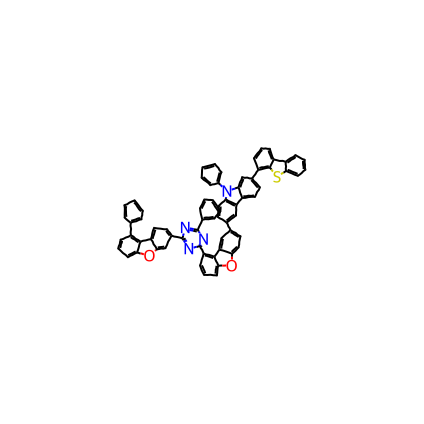 c1ccc(-c2nc(-c3ccc4c(c3)oc3cccc(-c5ccccc5)c34)nc(-c3cccc4oc5ccc(-c6ccc7c(c6)c6ccc(-c8cccc9c8sc8ccccc89)cc6n7-c6ccccc6)cc5c34)n2)cc1